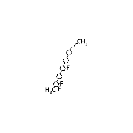 C/C=C/CCC1CCC(C2CC=C(c3ccc(-c4ccc(-c5ccc(C)c(F)c5F)cc4)cc3F)CC2)CC1